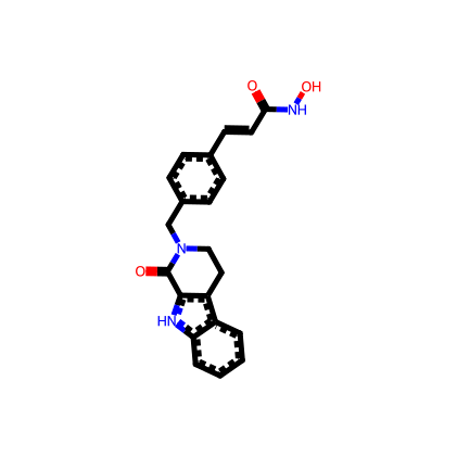 O=C(C=Cc1ccc(CN2CCc3c([nH]c4ccccc34)C2=O)cc1)NO